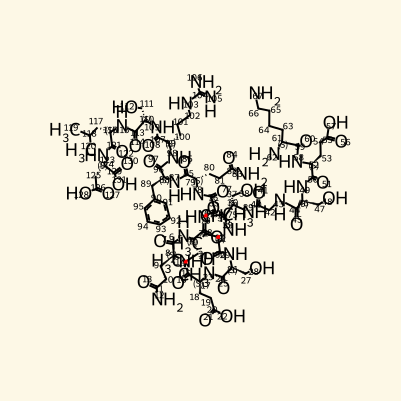 CC(C)C[C@H](NC(=O)[C@H](CCC(N)=O)NC(=O)[C@H](CCC(=O)O)NC(=O)[C@H](CO)NC(=O)[C@@H](NC(=O)[C@H](CO)NC(=O)CNC(=O)[C@H](CO)NC(=O)[C@H](CCC(=O)O)NC(=O)[C@@H](N)CCCCN)C(C)C)C(=O)N[C@@H](C)C(=O)N[C@@H](CCC(N)=O)C(=O)N[C@@H](Cc1ccccc1)C(=O)N[C@@H](CCCNC(=N)N)C(=O)N[C@@H](CO)C(=O)N[C@@H](CC(C)C)C(=O)N[C@@H](CC(=O)O)C(=O)O